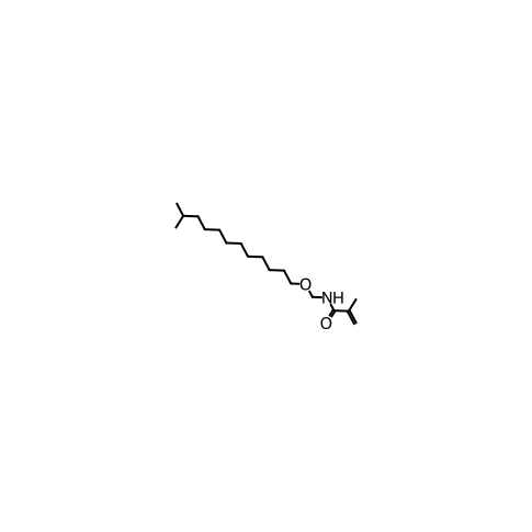 C=C(C)C(=O)NCOCCCCCCCCCCC(C)C